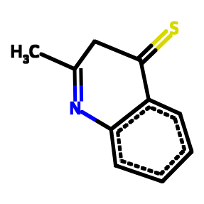 CC1=Nc2ccccc2C(=S)C1